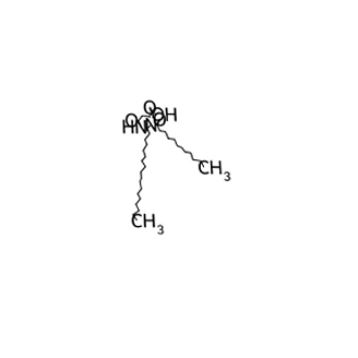 CCCCCCCCCCCCCCCCCC1NC(=O)CC(C(=O)O)N1C(=O)CCCCCCCCCCC